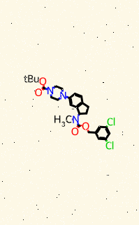 CN(C(=O)OCc1cc(Cl)cc(Cl)c1)C1CCc2ccc(N3CCN(C(=O)OC(C)(C)C)CC3)cc21